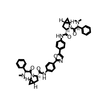 CN(C)[C@@H](C(=O)N1[C@H](C(=O)Nc2ccc(-c3cnc(-c4ccc(NC(=O)[C@@H]5C[C@@H]6C[C@@H]6N5C(=O)[C@@H](c5ccccc5)N(C)C)cc4)o3)cc2)C[C@@H]2C[C@@H]21)c1ccccc1